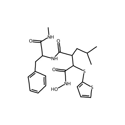 CNC(=O)C(Cc1ccccc1)NC(=O)C(CC(C)C)C(Sc1cccs1)C(=O)NO